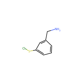 NCc1cccc(SCl)c1